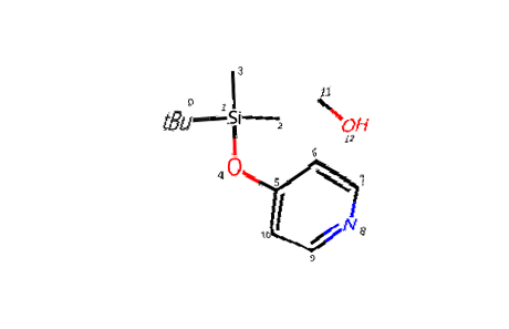 CC(C)(C)[Si](C)(C)Oc1ccncc1.CO